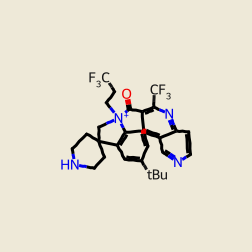 CC(C)(C)c1ccc2c(c1)C1(CCNCC1)C[N+]2(CCC(F)(F)F)C(=O)c1cc2cnccc2nc1C(F)(F)F